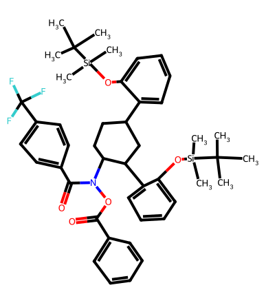 CC(C)(C)[Si](C)(C)Oc1ccccc1C1CCC(N(OC(=O)c2ccccc2)C(=O)c2ccc(C(F)(F)F)cc2)C(c2ccccc2O[Si](C)(C)C(C)(C)C)C1